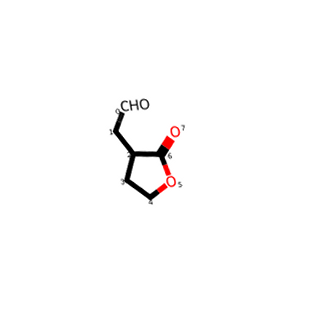 O=CCC1CCOC1=O